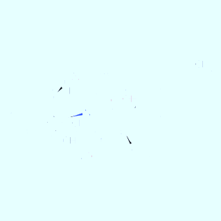 C=CCC[C@@H](O)[C@@H](C)C(=O)N([C@H]1CC2CC[C@@]1(C)C2(C)C)S(C)(=O)=O